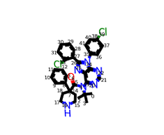 CC(C)(C)N(C(=O)C1(c2ccccc2)CCNCC1)c1ncnc2c1nc(-c1ccccc1Cl)n2-c1ccc(Cl)cc1